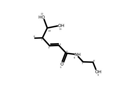 CC(C=CC(=O)N[CH]CO)C(O)O